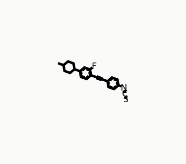 CC1CCC(c2ccc(C#Cc3ccc(N=C=S)cc3)c(F)c2)CC1